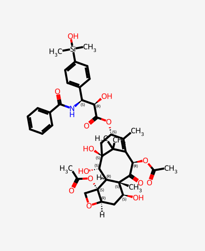 CC(=O)O[C@H]1C(=O)[C@@]2(C)[C@H]([C@H](O)[C@]3(O)C[C@H](OC(=O)[C@H](O)[C@@H](NC(=O)c4ccccc4)c4ccc([Si](C)(C)O)cc4)C(C)=C1C3(C)C)[C@]1(OC(C)=O)CO[C@@H]1C[C@@H]2O